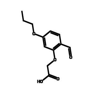 CCCOc1ccc(C=O)c(OCC(=O)O)c1